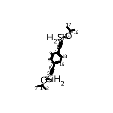 CC(C)O[SiH2]C#Cc1ccc(C#C[SiH2]OC(C)C)cc1